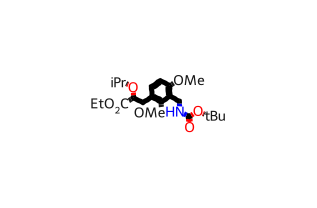 CCOC(=O)C(Cc1ccc(OC)c(CNC(=O)OC(C)(C)C)c1OC)OC(C)C